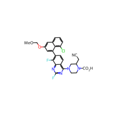 COCOc1cc(-c2ccc3c(N4CCN(C(=O)O)C(CC#N)C4)nc(F)nc3c2F)c2c(Cl)cccc2c1